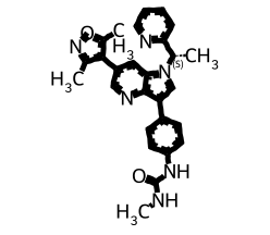 CNC(=O)Nc1ccc(-c2cn([C@@H](C)c3ccccn3)c3cc(-c4c(C)noc4C)cnc23)cc1